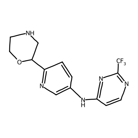 FC(F)(F)c1nccc(Nc2ccc(C3CNCCO3)nc2)n1